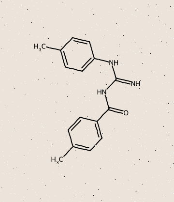 Cc1ccc(NC(=N)NC(=O)c2ccc(C)cc2)cc1